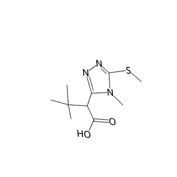 CSc1nnc(C(C(=O)O)C(C)(C)C)n1C